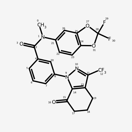 CN(C(=O)c1cccc(-n2nc(C(F)(F)F)c3c2C(=O)CCC3)c1)c1ccc2c(c1)OC(F)(F)O2